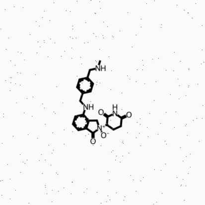 CNCc1ccc(CNc2cccc3c2C[N+]([O-])(C2CCC(=O)NC2=O)C3=O)cc1